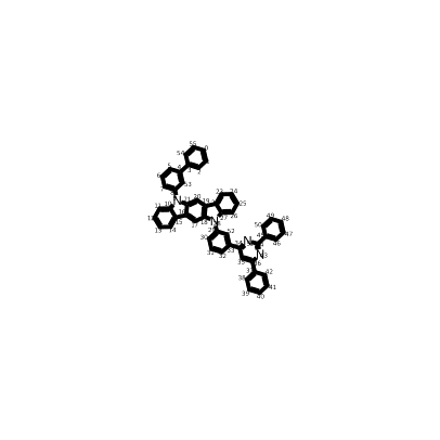 c1ccc(-c2cccc(-n3c4ccccc4c4cc5c(cc43)c3ccccc3n5-c3cccc(-c4cc(-c5ccccc5)nc(-c5ccccc5)n4)c3)c2)cc1